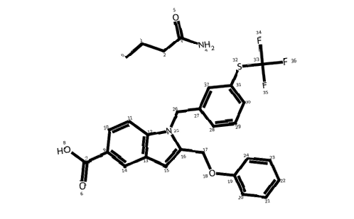 CCCC(N)=O.O=C(O)c1ccc2c(c1)cc(COc1ccccc1)n2Cc1cccc(SC(F)(F)F)c1